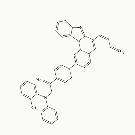 C=C/C=C\C1=CC2C=CC(C3C=CC(C(=C)CN(c4ccccc4)c4ccccc4C)=CC3)=CC2n2c1nc1ccccc12